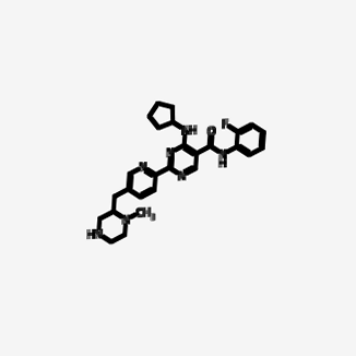 CN1CCNCC1Cc1ccc(-c2ncc(C(=O)Nc3ccccc3F)c(NC3CCCC3)n2)nc1